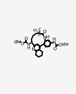 COC(=O)Nc1ccc2c(c1)NC(=O)[C@H](C)CCC[C@H](NC(=O)OC(C)(C)C)c1cc-2c2c(n1)CCCC2